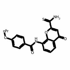 CCCOc1ccc(C(=O)Nc2cccc3c(=O)cc(C(N)=S)oc23)cc1